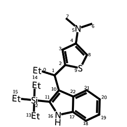 [CH2]CC(c1cc(N(C)C)cs1)c1c([Si](CC)(CC)CC)[nH]c2ccccc12